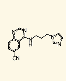 N#Cc1ccc2ncnc(NCCCn3ccnc3)c2c1